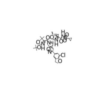 C=C[C@@H]1C[C@]1(NC(=O)[C@@H]1C[C@]2(CC(c3cc(Cl)c4c(c3)CCO4)=NO2)CN1C(=O)[C@@H](NC(=O)OC(C)(C)C)C(C)(C)C)C(=O)NS(=O)(=O)C1CC1